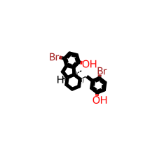 C[C@@]12c3c(O)ccc(Br)c3C[C@@H]1CCC[C@H]2Cc1cc(O)ccc1Br